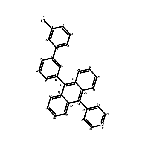 Clc1cccc(-c2cccc(-c3c4ccccc4c(-c4ccncc4)c4ccccc34)c2)c1